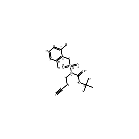 C#CCCN(C(=O)OC(C)(C)C)S(=O)(=O)Cc1c(C)cccc1C